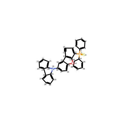 S=P(c1ccccc1)(c1cc#cc2c1oc1ccc(-n3c4ccccc4c4ccccc43)cc12)C1C=CC=CC1